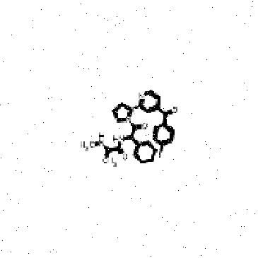 CNC(C)C(=O)NC(C(=O)N1CCC[C@H]1c1cc(C(=O)c2ccc(F)cc2)ccn1)C1CCCCC1